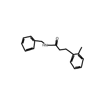 Cc1ccccc1CCC(=O)NCc1ccccc1